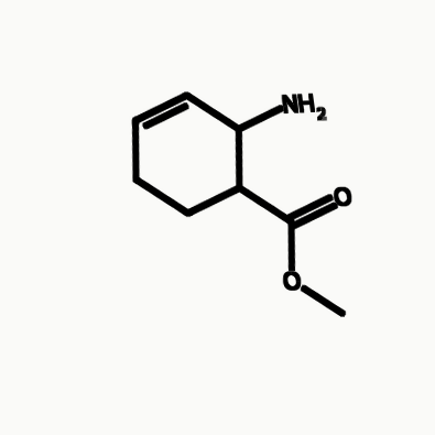 COC(=O)C1CCC=CC1N